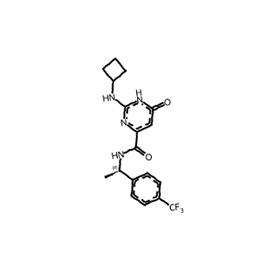 C[C@@H](NC(=O)c1cc(=O)[nH]c(NC2CCC2)n1)c1ccc(C(F)(F)F)cc1